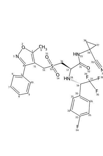 Cc1onc(-c2ccccc2)c1CS(=O)(=O)C[C@H](N[C@@H](c1ccc(F)cc1)C(F)(F)F)C(=O)NC1(C#N)CC1